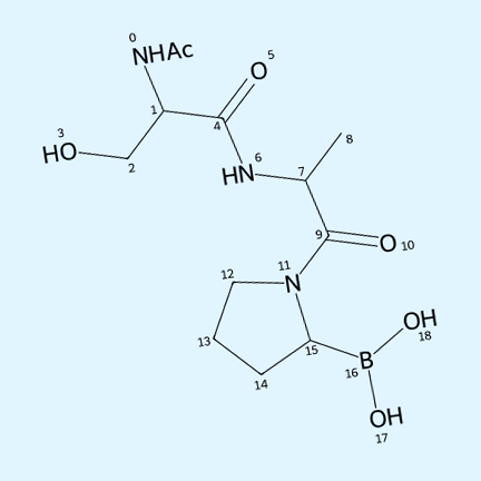 CC(=O)NC(CO)C(=O)NC(C)C(=O)N1CCCC1B(O)O